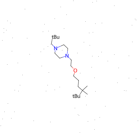 CC(C)(C)CN1CCN(CCOCCCC(C)(C)C(C)(C)C)CC1